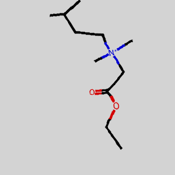 CCOC(=O)C[N+](C)(C)CCC(C)C